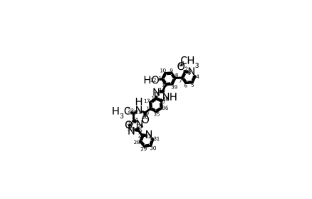 COc1ncccc1-c1ccc(O)c(-c2nc3cc(C(=O)NC(C)c4nc(-c5ccccn5)no4)ccc3[nH]2)c1